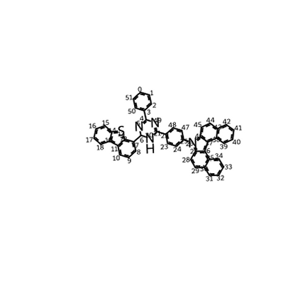 c1ccc(C2=NC(c3cccc4c3sc3ccccc34)NC(c3ccc(-n4c5ccc6ccccc6c5c5c6ccccc6ccc54)cc3)=N2)cc1